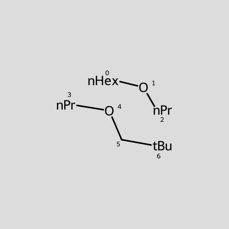 CCCCCCOCCC.CCCOCC(C)(C)C